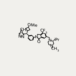 COC1CC([C@H](c2cccc(N3Cc4c(cc(CN5CCN(C)C[C@@H]5C(C)C)cc4C(F)(F)F)C3=O)c2)c2nncn2C)C1